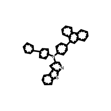 c1ccc(-c2ccc(N(c3ccc(-c4cc5ccccc5c5ccccc45)cc3)c3cnc4sc5ccccc5c4c3)cc2)cc1